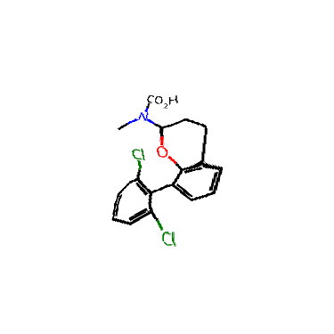 CN(C(=O)O)C1CCc2cccc(-c3c(Cl)cccc3Cl)c2O1